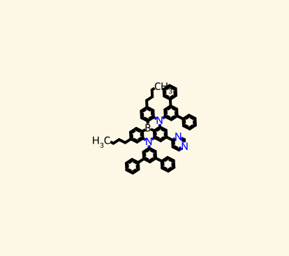 CCCCc1ccc2c(c1)N(c1cc(-c3ccccc3)cc(-c3ccccc3)c1)c1cc(-c3ccncn3)cc3c1B2c1ccc(CCCC)cc1N3c1cc(-c2ccccc2)cc(-c2ccccc2)c1